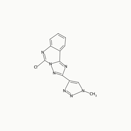 Cn1cc(-c2nc3c4ccccc4nc(Cl)n3n2)nn1